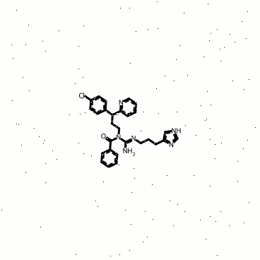 NC(=NCCCc1c[nH]cn1)N(CCC(c1ccc(Cl)cc1)c1ccccn1)C(=O)c1ccccc1